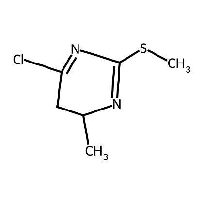 CSC1=NC(C)CC(Cl)=N1